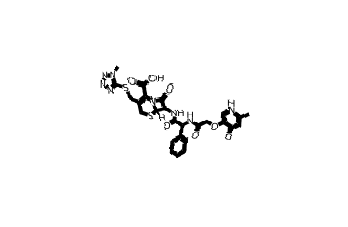 Cc1cc(=O)c(OCC(=O)NC(C(=O)NC2C(=O)N3C(C(=O)O)=C(CSc4nnnn4C)CS[C@@H]23)c2ccccc2)c[nH]1